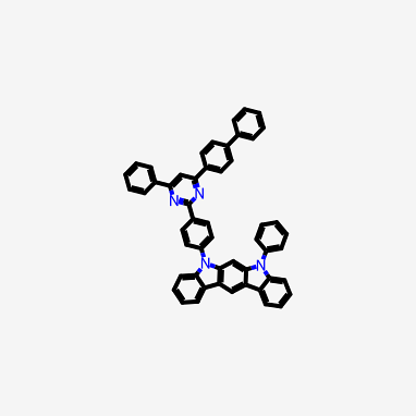 c1ccc(-c2ccc(-c3cc(-c4ccccc4)nc(-c4ccc(-n5c6ccccc6c6cc7c8ccccc8n(-c8ccccc8)c7cc65)cc4)n3)cc2)cc1